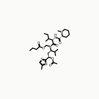 CCCC(=O)OCN(C(=O)[C@@H](NC(=O)[C@H]1CCCCN1C)C(C)CC)[C@H](C[C@@H](OC(C)=O)c1nc(C)cs1)C(C)C